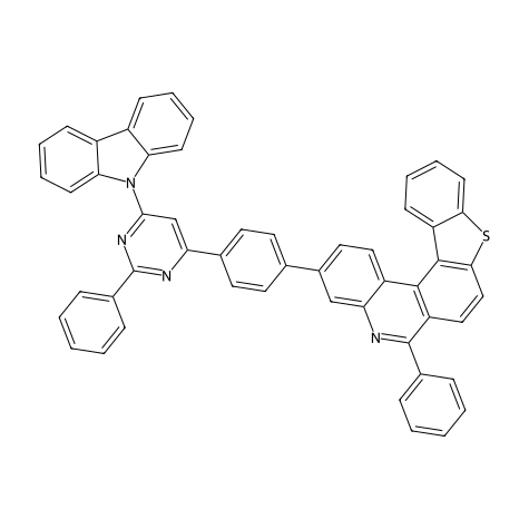 c1ccc(-c2nc(-c3ccc(-c4ccc5c(c4)nc(-c4ccccc4)c4ccc6sc7ccccc7c6c45)cc3)cc(-n3c4ccccc4c4ccccc43)n2)cc1